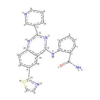 NC(=O)c1ccccc1Nc1nc(-c2cccnc2)nc2ccc(-c3nccs3)cc12